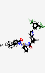 CC(C)(C)c1ccc(C(=O)NSc2ccccc2NC(=O)c2ccc3nc(-c4cc(C(F)(F)F)cc(C(F)(F)F)c4)ccc3c2)cc1